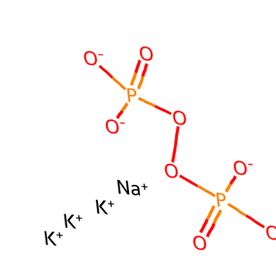 O=P([O-])([O-])OOP(=O)([O-])[O-].[K+].[K+].[K+].[Na+]